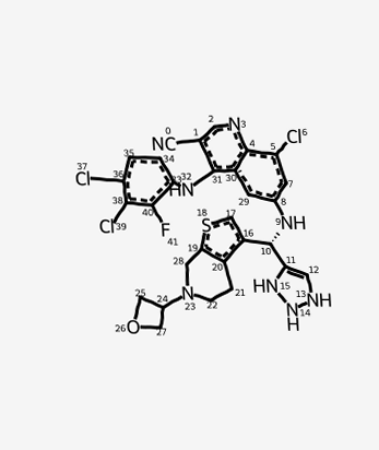 N#Cc1cnc2c(Cl)cc(N[C@H](C3=CNNN3)c3csc4c3CCN(C3COC3)C4)cc2c1Nc1ccc(Cl)c(Cl)c1F